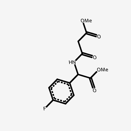 COC(=O)CC(=O)NC(C(=O)OC)c1ccc(F)cc1